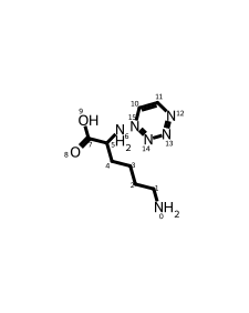 NCCCCC(N)C(=O)O.c1cnnnn1